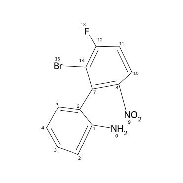 Nc1ccccc1-c1c([N+](=O)[O-])ccc(F)c1Br